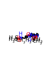 CN1CCC[C@H]1c1cc2cnc(NC(=O)c3ccc(CCCNC(=O)OC(C)(C)C)cc3)cc2n1C(=O)OC(C)(C)C